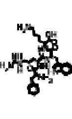 N=C(N)NCCC[C@H](NC(=O)[C@@H](N)Cc1ccccc1)C(=O)N[C@@H](Cc1c[nH]c2ccccc12)C(=O)N[C@@H](CCCCN)C(=O)O